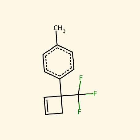 Cc1ccc(C2(C(F)(F)F)C=CC2)cc1